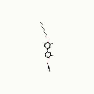 CC#CCOc1ccc2c(sc3c(C)c(OCCCCCCC)ccc32)c1C